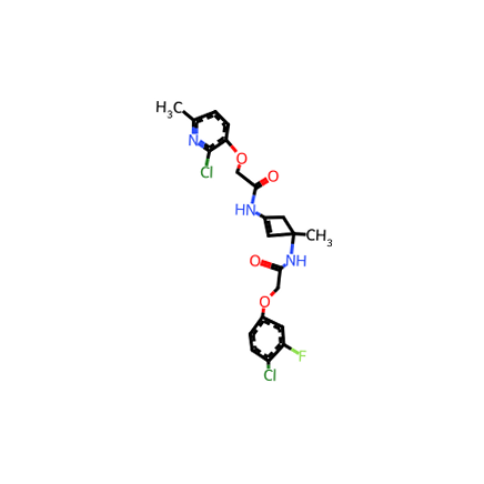 Cc1ccc(OCC(=O)NC2=CC(C)(NC(=O)COc3ccc(Cl)c(F)c3)C2)c(Cl)n1